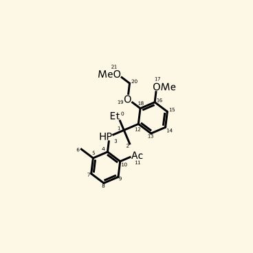 CCC(C)(Pc1c(C)cccc1C(C)=O)c1cccc(OC)c1OCOC